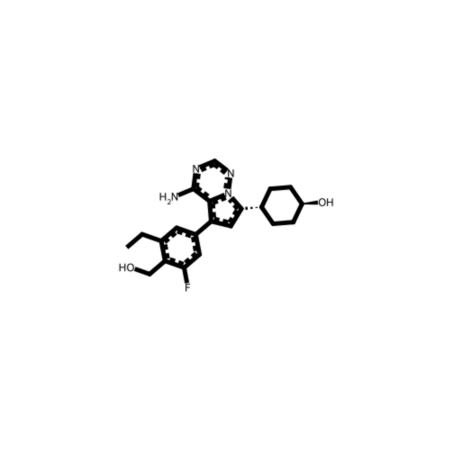 CCc1cc(-c2cc([C@H]3CC[C@H](O)CC3)n3ncnc(N)c23)cc(F)c1CO